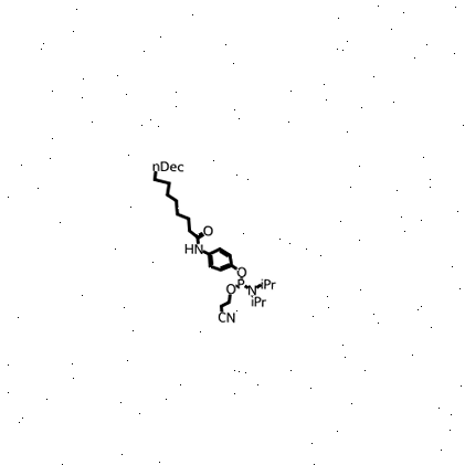 CCCCCCCCCCCCCCCCCC(=O)Nc1ccc(OP(OCCC#N)N(C(C)C)C(C)C)cc1